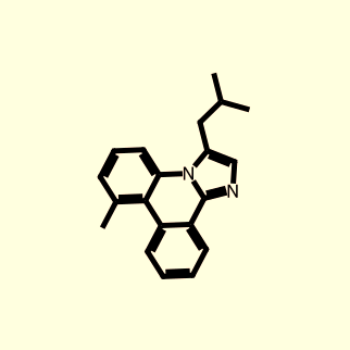 Cc1cccc2c1c1ccccc1c1ncc(CC(C)C)n21